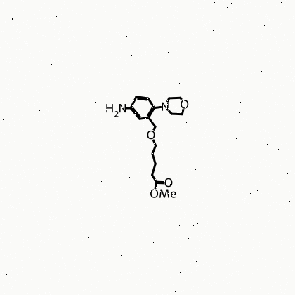 COC(=O)CCCCOCc1cc(N)ccc1N1CCOCC1